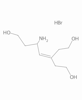 Br.NC(C=C(CCO)CCO)CCO